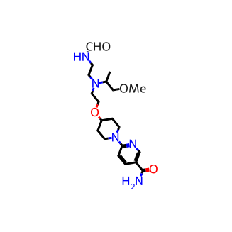 COCC(C)N(CCNC=O)CCOC1CCN(c2ccc(C(N)=O)cn2)CC1